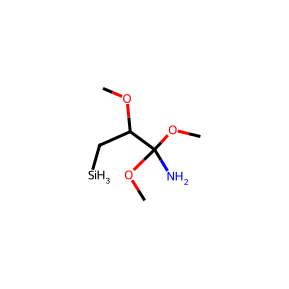 COC(C[SiH3])C(N)(OC)OC